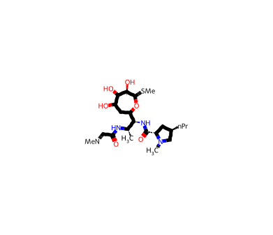 CCC[C@@H]1C[C@@H](C(=O)N[C@@H](C2CC(O)C(O)[C@@H](O)C(SC)O2)[C@H](C)NC(=O)CNC)N(C)C1